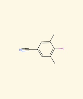 Cc1cc(C#N)cc(C)c1I